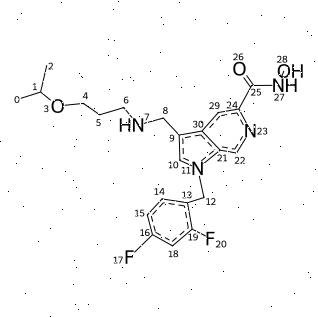 CC(C)OCCCNCc1cn(Cc2ccc(F)cc2F)c2cnc(C(=O)NO)cc12